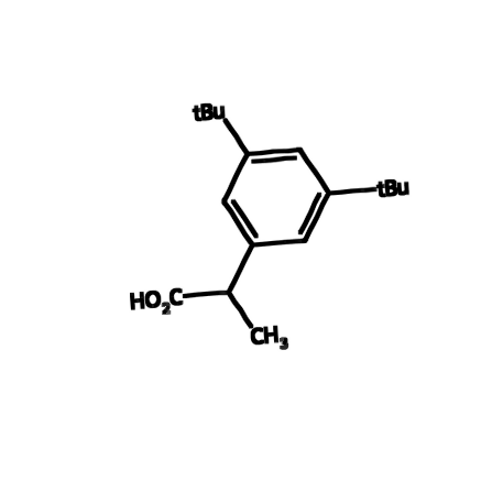 CC(C(=O)O)c1cc(C(C)(C)C)cc(C(C)(C)C)c1